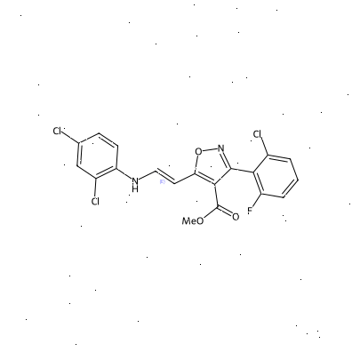 COC(=O)c1c(-c2c(F)cccc2Cl)noc1/C=C/Nc1ccc(Cl)cc1Cl